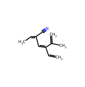 C=C/C(=C/C(C#N)=C\C)C(=C)C